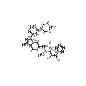 CC1=C(C(O)Nc2ccc3[nH]nc(-c4cc(N5CCN(C)CC5)ncn4)c3c2)[C@H](C)n2nnnc2N1C